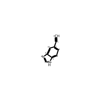 C#Cc1ccc2[nH]cnc2c1